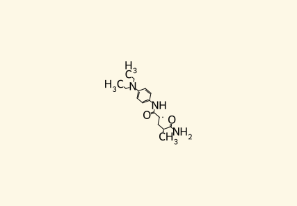 CCN(CC)c1ccc(NC(=O)[CH]C[C@H](C)C(N)=O)cc1